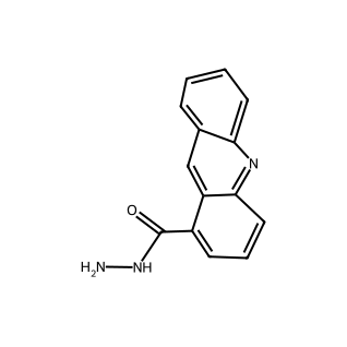 NNC(=O)c1cccc2nc3ccccc3cc12